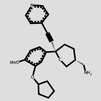 COc1ccc([C@]2(C#Cc3ccncc3)CC[C@@H](CN)CC2)cc1OC1CCCC1